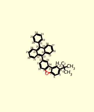 CC(C)(C)c1ccc2oc3ccc(-c4c5ccccc5c(-c5ccccc5)c5ccccc45)cc3c2c1